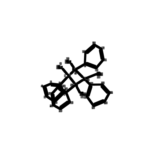 CCC(C)[Si]1(c2ccccc2)[Si](c2ccccc2)(C(C)CC)[Si](c2ccccc2)(C(C)CC)[Si]1(c1ccccc1)C(C)CC